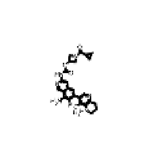 Cc1c(-c2cc3cc(NC(=O)OC4CN(C(=O)C5CC5)C4)ncc3c(N)c2F)cnc2c1NCCC2